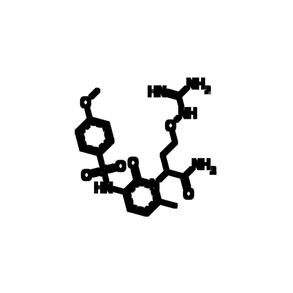 COc1ccc(S(=O)(=O)Nc2ccc(C)n(C(CCONC(=N)N)C(N)=O)c2=O)cc1